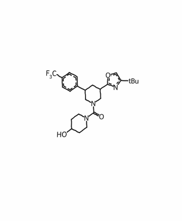 CC(C)(C)c1coc(C2CC(c3ccc(C(F)(F)F)cc3)CN(C(=O)N3CCC(O)CC3)C2)n1